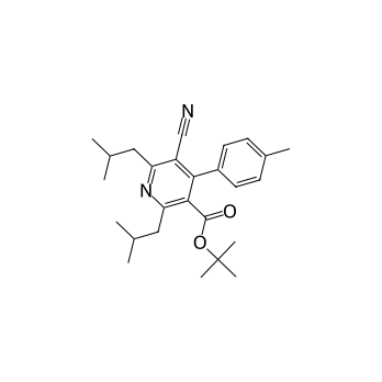 Cc1ccc(-c2c(C#N)c(CC(C)C)nc(CC(C)C)c2C(=O)OC(C)(C)C)cc1